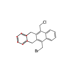 ClCc1c2c(c(CBr)c3ccccc13)C1c3ccccc3C2c2ccccc21